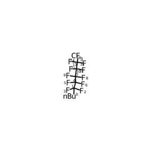 [CH2]CCCC(F)(F)C(F)(F)C(F)(F)C(F)(F)C(F)(F)C(F)(F)F